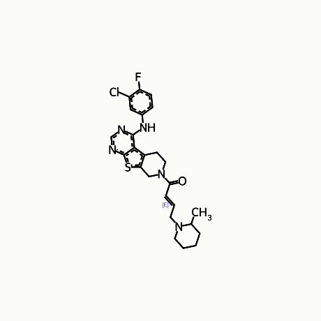 CC1CCCCN1C/C=C/C(=O)N1CCc2c(sc3ncnc(Nc4ccc(F)c(Cl)c4)c23)C1